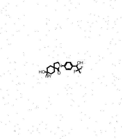 CCCC1(O)CCC2(CCN(c3ccc(C(O)C(C)(F)F)cc3)C2=O)CC1